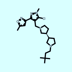 Cc1cc(-c2nn(C)c(Cl)c2CN2CC[C@@H](C3CCN(CCC(C)(C)C)C3)C2)no1